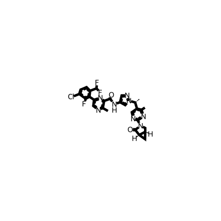 Cc1nc(N2C[C@H]3C[C@H]3C2=O)ncc1[C@@H](C)n1cc(NC(=O)c2nc(-c3c(C(F)F)ccc(Cl)c3F)cnc2C)cn1